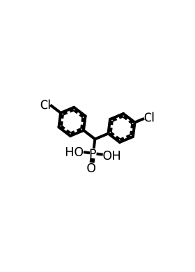 O=P(O)(O)C(c1ccc(Cl)cc1)c1ccc(Cl)cc1